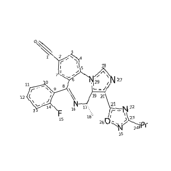 C#Cc1ccc2c(c1)C(c1ccccc1F)=N[C@@H](C)c1c(-c3nc(C(C)C)no3)ncn1-2